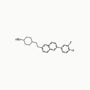 CCCCC1CCC(CCc2ccc3cc(-c4ccc(F)c(F)c4)ccc3c2)CC1